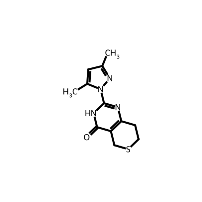 Cc1cc(C)n(-c2nc3c(c(=O)[nH]2)CSCC3)n1